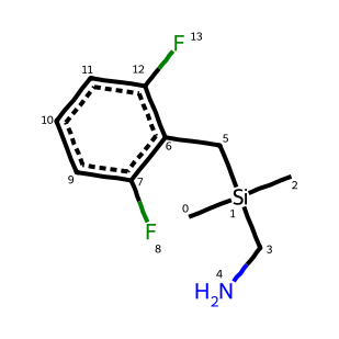 C[Si](C)(CN)Cc1c(F)cccc1F